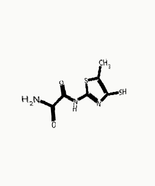 Cc1sc(NC(=O)C(N)=O)nc1S